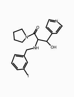 O=C(C(NCc1cccc(I)c1)C(O)c1ccncc1)N1CCCC1